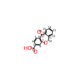 O=C(O)c1ccc2c(c1)OCc1ccccc1C2=O